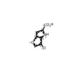 O=C(O)c1cc2occ(Cl)c2[nH]1